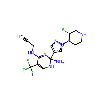 C#CCNC1=NC(N)(c2cnn([C@@H]3CCNC[C@H]3F)c2)NC=C1C(F)(F)F